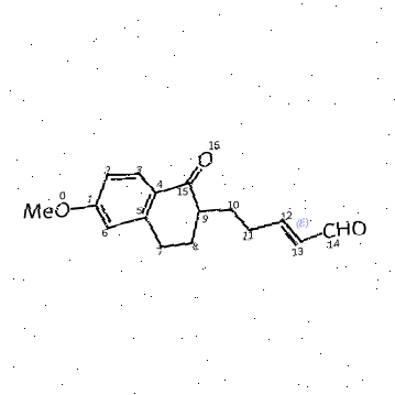 COc1ccc2c(c1)CCC(CC/C=C/C=O)C2=O